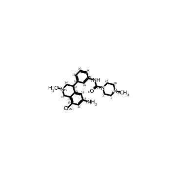 CN1CCN(C(=O)Nc2cccc(C3CN(C)Cc4c(Cl)cc(N)cc43)c2)CC1